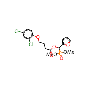 COP(=O)(OC)C(OC(=O)CCCOc1ccc(Cl)cc1Cl)c1ccco1